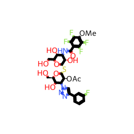 COc1c(F)c(F)c(C(=O)NC2[C@@H](O)C(CO)O[C@@H](SC3O[C@H](CO)C(O)C(n4cc(-c5cccc(F)c5)nn4)[C@H]3OC(C)=O)[C@H]2O)c(F)c1F